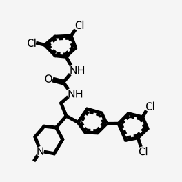 CN1CCC(C(CNC(=O)Nc2cc(Cl)cc(Cl)c2)c2ccc(-c3cc(Cl)cc(Cl)c3)cc2)CC1